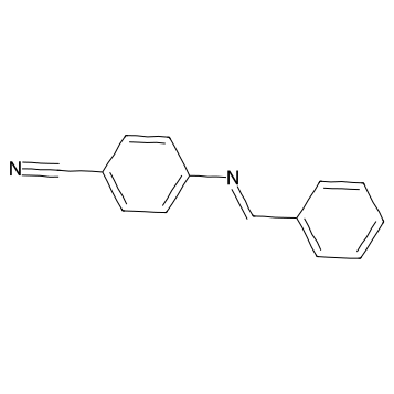 N#Cc1ccc(N=Cc2ccccc2)cc1